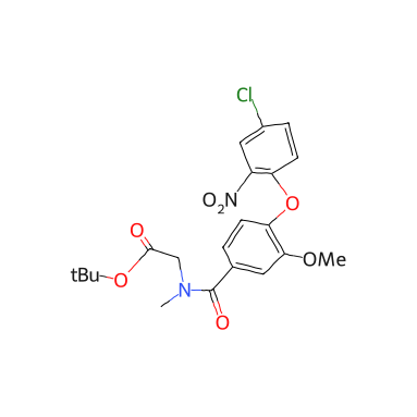 COc1cc(C(=O)N(C)CC(=O)OC(C)(C)C)ccc1Oc1ccc(Cl)cc1[N+](=O)[O-]